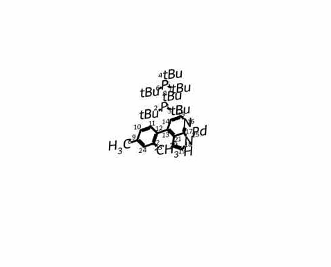 CC(C)(C)P(C(C)(C)C)C(C)(C)C.CC(C)(C)P(C(C)(C)C)C(C)(C)C.Cc1ccc(-c2ccnc3[nH]ccc23)c(C)c1.[Pd]